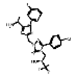 CC(N)c1nc(Cn2nc(-c3ccc(Cl)cc3)n(C[C@H](O)C(F)(F)F)c2=O)nn1-c1cccc(F)c1